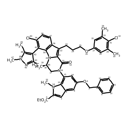 CCOC(=O)c1cc2cc(OCc3ccccc3)cc(N3C[C@@H](C)n4c(c(CCCOc5cc(C)c(Cl)c(C)c5)c5ccc(Cl)c(-c6c(C)nn(C)c6C)c54)C3=O)c2n1C